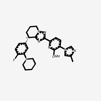 COc1nc(-c2nc3n(n2)CCC[C@H]3c2ccc(F)c(N3CCCCC3)c2)ccc1-n1cnc(C)c1